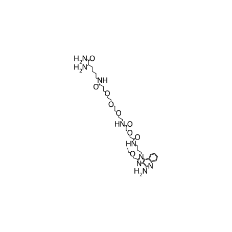 CCOCc1nc2c(N)nc3ccccc3c2n1CCCNC(=O)COCC(=O)NCCOCCOCCOCCC(=O)NCCCCC(N)C(N)=O